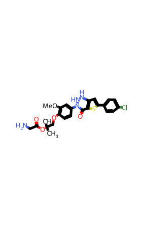 COc1cc(N2NNc3cc(-c4ccc(Cl)cc4)sc3C2=O)ccc1OCC(C)(C)OC(=O)CN